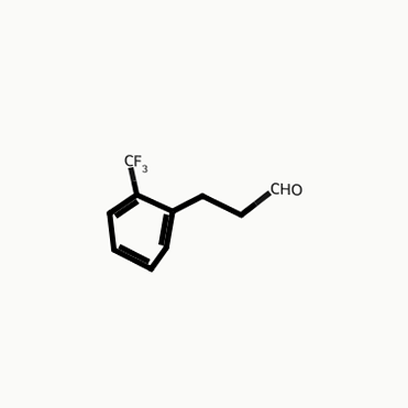 O=CCCc1ccccc1C(F)(F)F